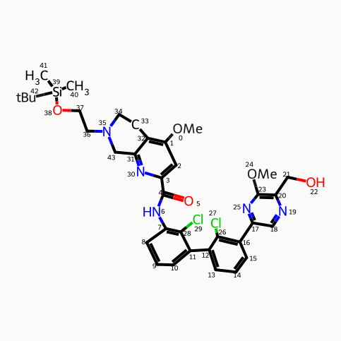 COc1cc(C(=O)Nc2cccc(-c3cccc(-c4cnc(CO)c(OC)n4)c3Cl)c2Cl)nc2c1CCN(CCO[Si](C)(C)C(C)(C)C)C2